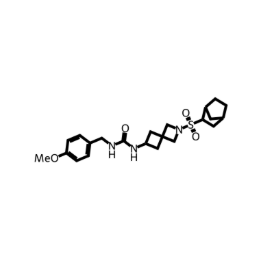 COc1ccc(CNC(=O)NC2CC3(C2)CN(S(=O)(=O)C2CC4CCC2C4)C3)cc1